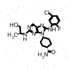 C[C@@H](CO)Nc1ncc2nc(Nc3cc(Cl)ccc3F)n([C@H]3CC[C@@H](C(N)=O)CC3)c2n1